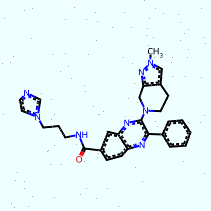 Cn1cc2c(n1)CN(c1nc3cc(C(=O)NCCCn4ccnc4)ccc3nc1-c1ccccc1)CC2